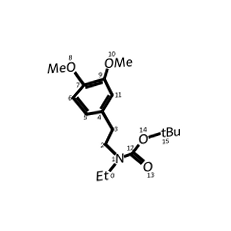 CCN(CCc1ccc(OC)c(OC)c1)C(=O)OC(C)(C)C